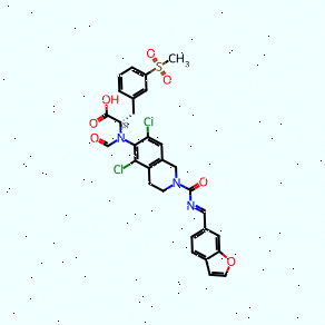 CS(=O)(=O)c1cccc(C[C@@H](C(=O)O)N(C=O)c2c(Cl)cc3c(c2Cl)CCN(C(=O)N=Cc2ccc4ccoc4c2)C3)c1